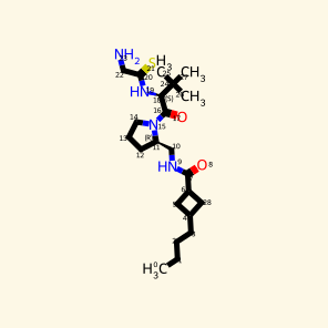 CCCCC1CC(C(=O)NC[C@H]2CCCN2C(=O)[C@@H](NC(=S)CN)C(C)(C)C)C1